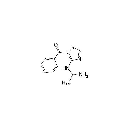 CC(N)Nc1ncsc1C(=O)c1ccccc1